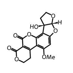 COc1cc2c(c3oc(=O)c4c(c13)CCOC4=O)[C@]1(O)CCO[C@@H]1O2